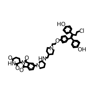 O=C1CCC(N2C(=O)c3ccc(N4CCCC(NCC5CCN(CCOc6ccc(C(=C(CCCl)c7ccc(O)cc7)c7ccc(O)cc7)cc6)CC5)C4)cc3C2=O)C(=O)N1